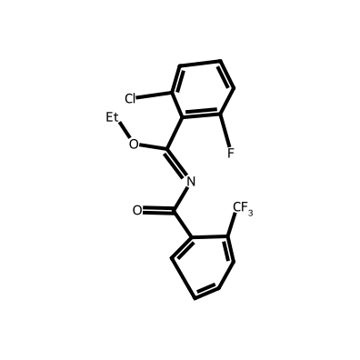 CCOC(=NC(=O)c1ccccc1C(F)(F)F)c1c(F)cccc1Cl